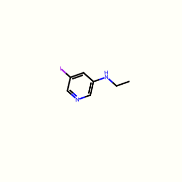 CCNc1cncc(I)c1